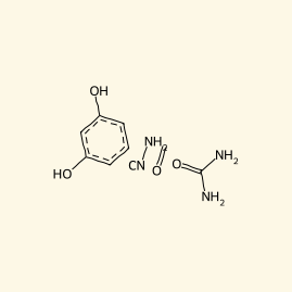 C=O.N#CN.NC(N)=O.Oc1cccc(O)c1